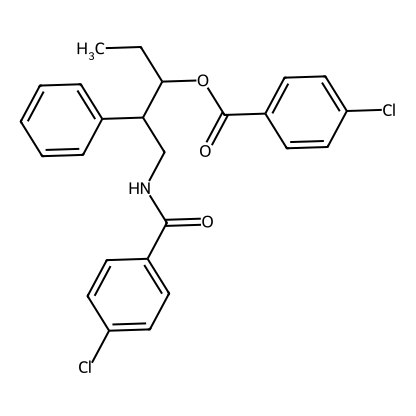 CCC(OC(=O)c1ccc(Cl)cc1)C(CNC(=O)c1ccc(Cl)cc1)c1ccccc1